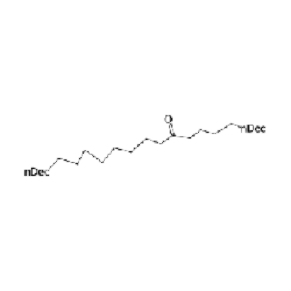 CCCCCCCCCCCCCCCCCCC(=O)CCCCCCCCCCCCCC